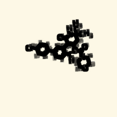 Cc1ccc(-c2ccc(Cl)cc2)cc1C1=C(OC(=O)N2CCOCC2)CC(C)(C)NC1=O